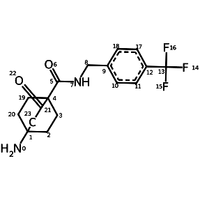 NC12CCC(C(=O)NCc3ccc(C(F)(F)F)cc3)(CC1)C(=O)C2